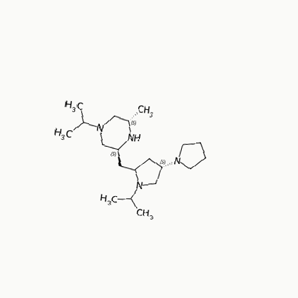 CC(C)N1C[C@H](CC2C[C@H](N3CCCC3)CN2C(C)C)N[C@@H](C)C1